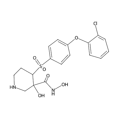 O=C(NO)C1(O)CNCCC1S(=O)(=O)c1ccc(Oc2ccccc2Cl)cc1